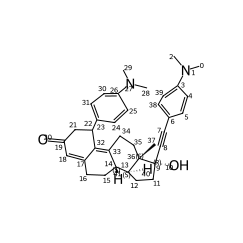 CN(C)c1ccc(C#C[C@@]2(O)CC[C@H]3[C@@H]4CCC5=CC(=O)CC(c6ccc(N(C)C)cc6)C5=C4CC[C@@]32C)cc1